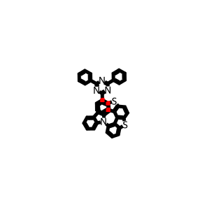 c1ccc(-c2nc(-c3ccccc3)nc(-c3cccc4c3sc3ccc5sc6cccc(-n7c8ccccc8c8ccccc87)c6c5c34)n2)cc1